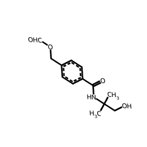 CC(C)(CO)NC(=O)c1ccc(COC=O)cc1